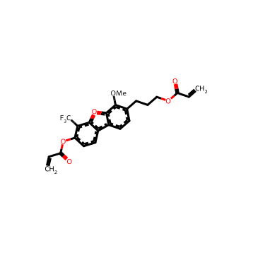 C=CC(=O)OCCCc1ccc2c(oc3c(C(F)(F)F)c(OC(=O)C=C)ccc32)c1OC